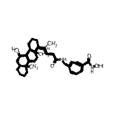 C[C@H](CCC(=O)NCC1=CC=C(C(=O)NO)CC=C1)C1CCCC2C3C(O)CC4CCCCC4(C)C3CCC21C